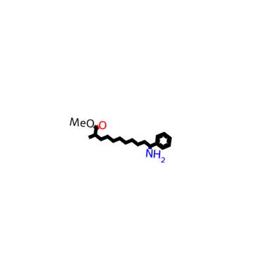 COC(=O)C(C)CCCCCCCCC(N)c1ccccc1